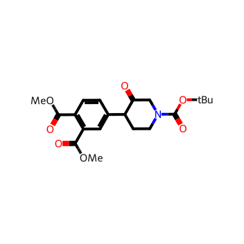 COC(=O)c1ccc(C2CCN(C(=O)OC(C)(C)C)CC2=O)cc1C(=O)OC